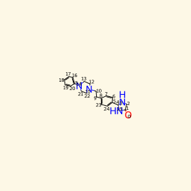 O=C1CNC(c2ccc(CCN3CCN(c4ccccc4)CC3)cc2)N1